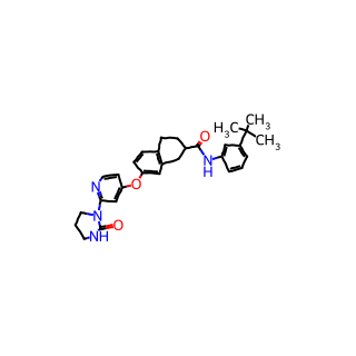 CC(C)(C)c1cccc(NC(=O)C2CCc3ccc(Oc4ccnc(N5CCCNC5=O)c4)cc3C2)c1